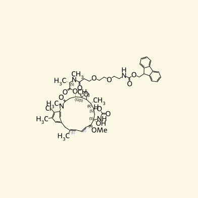 CO[C@@H]1/C=C/C=C(\C)Cc2cc(C)c(Cl)c(c2)N(C)C(=O)C[C@H](OC(=O)[C@H](C)N(C)C(=O)CCOCCOCCNC(=O)OCC2c3ccccc3-c3ccccc32)[C@]2(C)OC2[C@H](C)[C@@H]2C[C@@]1(O)NC(=O)O2